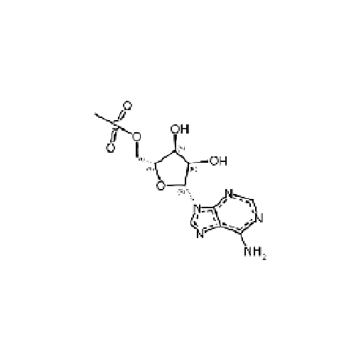 CS(=O)(=O)OC[C@H]1O[C@@H](n2cnc3c(N)ncnc32)[C@H](O)[C@@H]1O